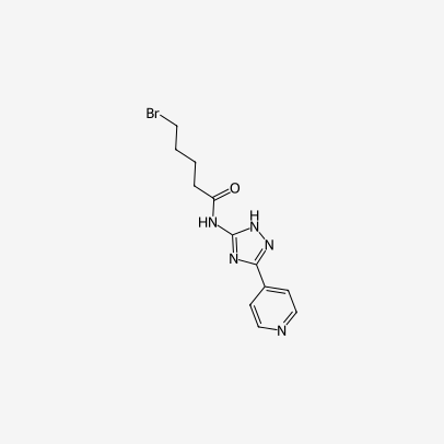 O=C(CCCCBr)Nc1nc(-c2ccncc2)n[nH]1